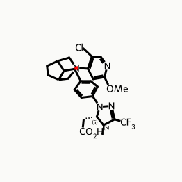 COc1cc(N2CC3CCC(C2)C3Cc2ccc(N3N=C(C(F)(F)F)[C@@H](C)[C@@H]3CC(=O)O)cc2)c(Cl)cn1